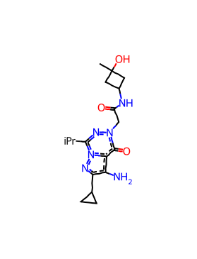 CC(C)c1nn(CC(=O)NC2CC(C)(O)C2)c(=O)c2c(N)c(C3CC3)nn12